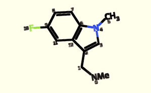 CNCc1cn(C)c2ccc(F)cc12